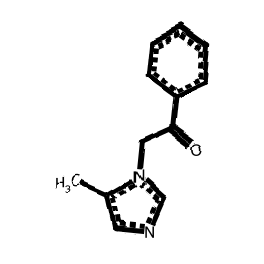 Cc1cncn1CC(=O)c1ccccc1